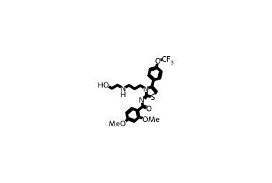 COc1ccc(C(=O)/N=c2\scc(-c3ccc(OC(F)(F)F)cc3)n2CCCNCCO)c(OC)c1